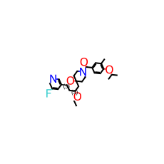 CCO[C@H]1C[C@@H](c2cncc(F)c2)OC2(CCN(C(=O)c3ccc(OC(C)C)c(C)c3)CC2)C1